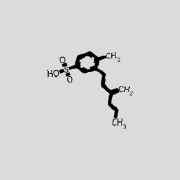 C=C(CCC)CCc1cc(S(=O)(=O)O)ccc1C